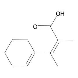 CC(C(=O)O)=C(C)C1=CCCCC1